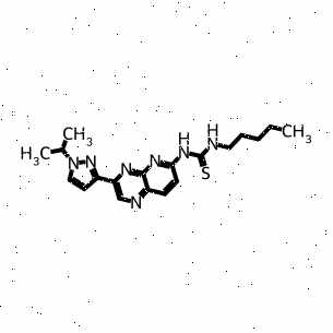 CCCCCNC(=S)Nc1ccc2ncc(-c3ccn(C(C)C)n3)nc2n1